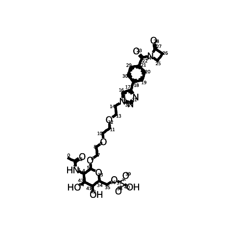 CC(=O)NC1C(OCCOCCOCCn2cc(-c3ccc(C(=O)N4CCC4=O)cc3)nn2)OC(COS(=O)(=O)O)C(O)C1O